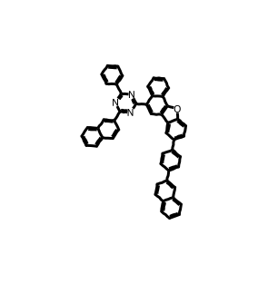 c1ccc(-c2nc(-c3ccc4ccccc4c3)nc(-c3cc4c5cc(-c6ccc(-c7ccc8ccccc8c7)cc6)ccc5oc4c4ccccc34)n2)cc1